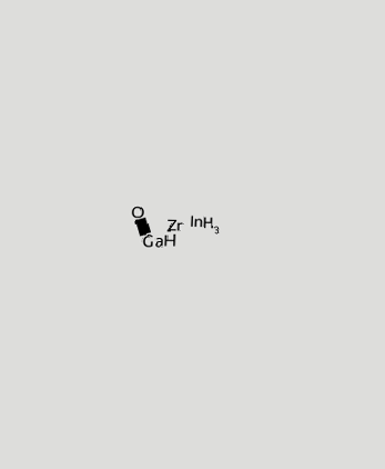 [InH3].[O]=[GaH].[Zr]